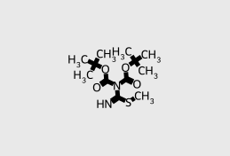 CSC(=N)N(C(=O)OC(C)(C)C)C(=O)OC(C)(C)C